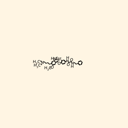 C=C/C(Oc1ccc(NC(=O)C(=O)NCCc2ccccc2)cc1F)=C1/C=C(OC)C(CCCCN(CC)CC)=CC1=N